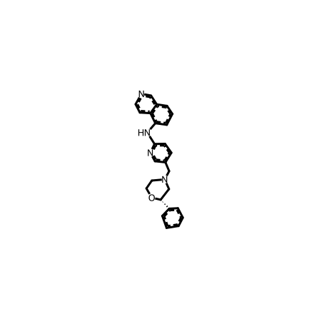 c1ccc([C@H]2CN(Cc3ccc(Nc4cccc5cnccc45)nc3)CCO2)cc1